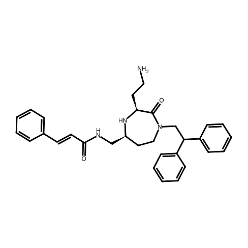 NCC[C@@H]1N[C@H](CNC(=O)/C=C/c2ccccc2)CCN(CC(c2ccccc2)c2ccccc2)C1=O